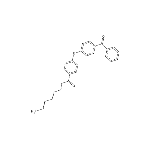 CCCCCCCC(=O)c1ccc(Sc2ccc(C(=O)c3ccccc3)cc2)cc1